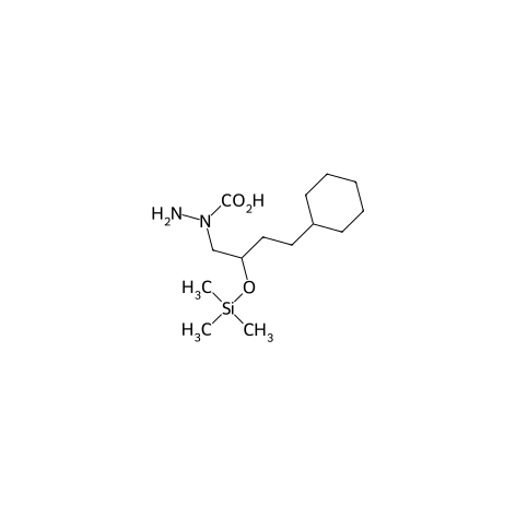 C[Si](C)(C)OC(CCC1CCCCC1)CN(N)C(=O)O